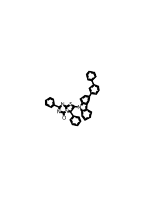 O=c1nc(-c2ccccc2)nc2sc(-n3c4ccccc4c4cc(-c5cccc(-c6ccccc6)c5)ccc43)c(-c3ccccc3)n12